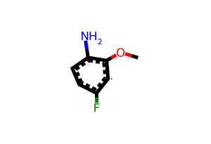 COc1[c]c(F)ccc1N